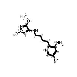 COc1n[s+]([O-])nc1NCCCCc1ncc(Br)cc1N